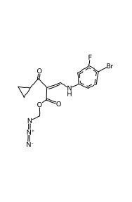 [N-]=[N+]=NCOC(=O)/C(=C\Nc1ccc(Br)c(F)c1)C(=O)C1CC1